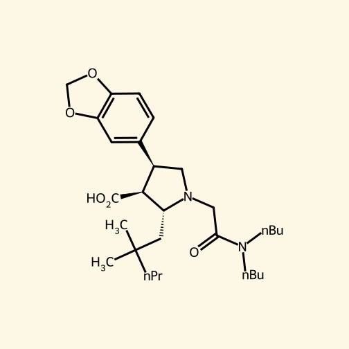 CCCCN(CCCC)C(=O)CN1C[C@H](c2ccc3c(c2)OCO3)[C@H](C(=O)O)[C@H]1CC(C)(C)CCC